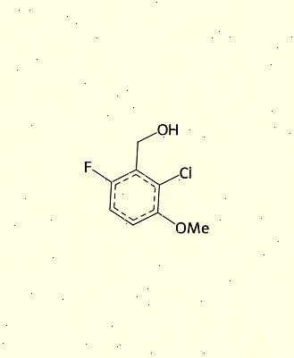 COc1ccc(F)c(CO)c1Cl